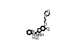 COc1cc2c(cc1OCCCN1CCOCC1)CC1=C2NNC1(Br)Nc1ccccc1